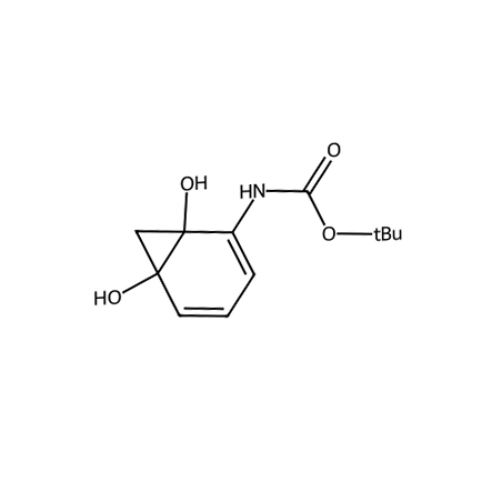 CC(C)(C)OC(=O)NC1=CC=CC2(O)CC12O